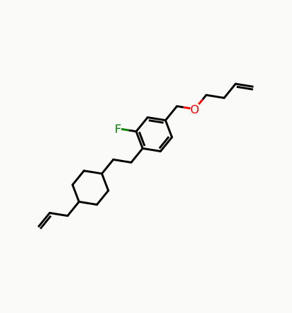 C=CCCOCc1ccc(CCC2CCC(CC=C)CC2)c(F)c1